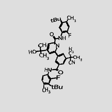 Cc1cc(F)c(NC(=O)c2cc(C(C)(C)O)cc(-c3cc(C(=O)Nc4ccc(C)c(C(C)(C)C)c4F)cc(C(C)(C)C#N)c3)n2)cc1C(C)(C)C